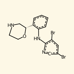 Brc1cnc(Nc2ccccc2[C@H]2CNCCO2)c(Br)c1